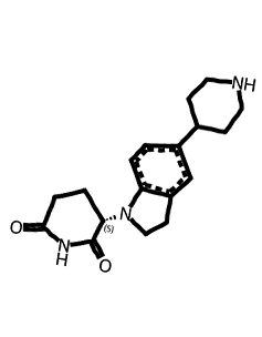 O=C1CC[C@H](N2CCc3cc(C4CCNCC4)ccc32)C(=O)N1